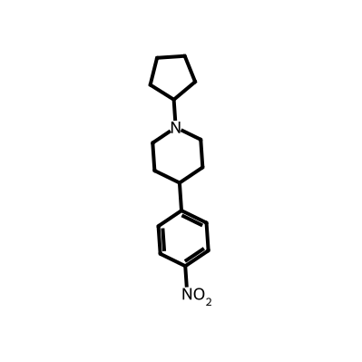 O=[N+]([O-])c1ccc(C2CCN(C3CCCC3)CC2)cc1